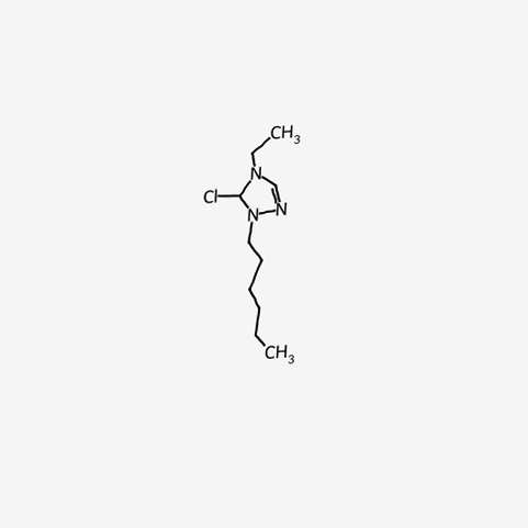 CCCCCCN1N=CN(CC)C1Cl